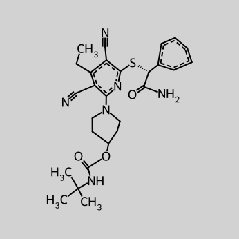 CCc1c(C#N)c(S[C@@H](C(N)=O)c2ccccc2)nc(N2CCC(OC(=O)NC(C)(C)C)CC2)c1C#N